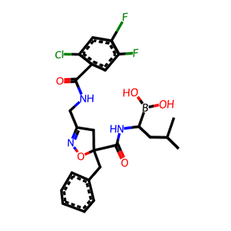 CC(C)CC(NC(=O)C1(Cc2ccccc2)CC(CNC(=O)c2cc(F)c(F)cc2Cl)=NO1)B(O)O